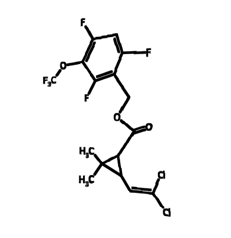 CC1(C)C(C=C(Cl)Cl)C1C(=O)OCc1c(F)cc(F)c(OC(F)(F)F)c1F